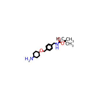 CC(C)(C)OC(=O)NCc1ccc(COC2CCC(N)CC2)cc1